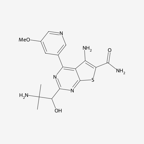 COc1cncc(-c2nc(C(O)C(C)(C)N)nc3sc(C(N)=O)c(N)c23)c1